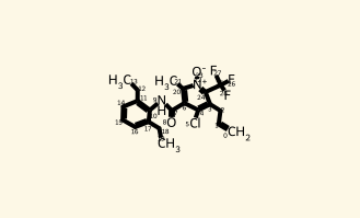 C=CCc1c(Cl)c(C(=O)Nc2c(CC)cccc2CC)c(C)[n+]([O-])c1C(F)(F)F